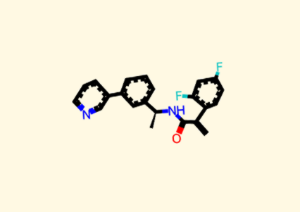 C=C(C(=O)N[C@@H](C)c1cccc(-c2cccnc2)c1)c1ccc(F)cc1F